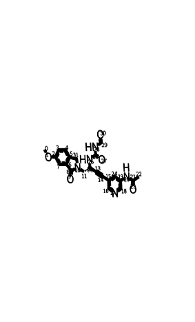 COc1ccc2c(c1)C(=O)N(C[C@@H](C#Cc1cncc(NC(C)=O)c1)NC(=O)NC=O)C2